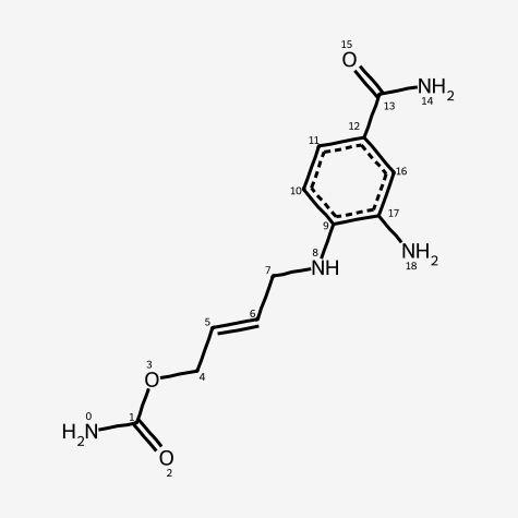 NC(=O)OCC=CCNc1ccc(C(N)=O)cc1N